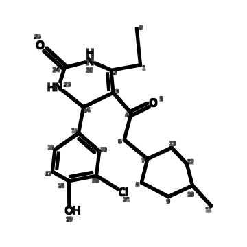 CCC1=C(C(=O)CC2CCC(C)CC2)C(c2ccc(O)c(Cl)c2)NC(=O)N1